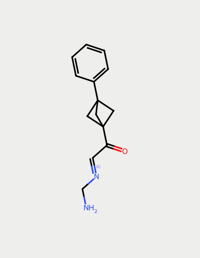 NC/N=C/C(=O)C12CC(c3ccccc3)(C1)C2